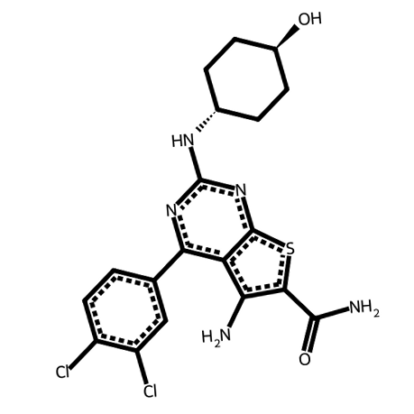 NC(=O)c1sc2nc(N[C@H]3CC[C@H](O)CC3)nc(-c3ccc(Cl)c(Cl)c3)c2c1N